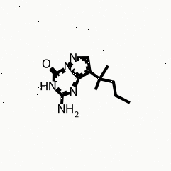 CCCC(C)(C)c1cnn2c(=O)[nH]c(N)nc12